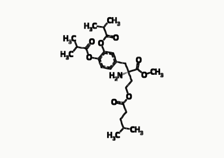 COC(=O)[C@@](N)(CCOC(=O)CCC(C)C)Cc1ccc(OC(=O)C(C)C)c(OC(=O)C(C)C)c1